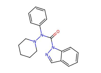 O=C(N(c1ccccc1)N1CCCCC1)n1ncc2ccccc21